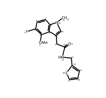 COc1c(F)ccc2c1c(CC(=O)NCc1cccs1)cn2C